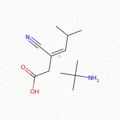 CC(C)(C)N.CC(C)/C=C(\C#N)CC(=O)O